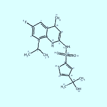 CC(C)c1cc(F)cc2c1NC(NS(=O)(=O)c1cc(C(C)(C)O)cs1)=CC2C